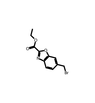 CCOC(=O)c1nc2ccc(CBr)cc2o1